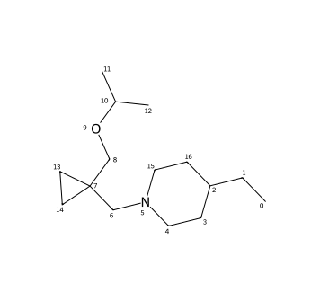 CCC1CCN(CC2(COC(C)C)CC2)CC1